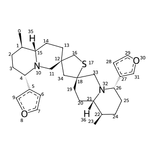 C[C@@H]1CC[C@@H](c2ccoc2)N2C[C@@]3(CC[C@@H]12)CS[C@@]1(CC[C@H]2[C@H](C)CC[C@@H](c4ccoc4)N2C1)C3